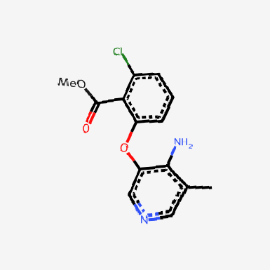 COC(=O)c1c(Cl)cccc1Oc1cncc(C)c1N